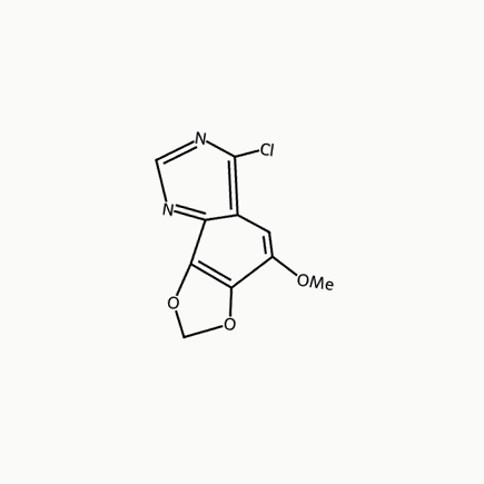 COc1cc2c(Cl)ncnc2c2c1OCO2